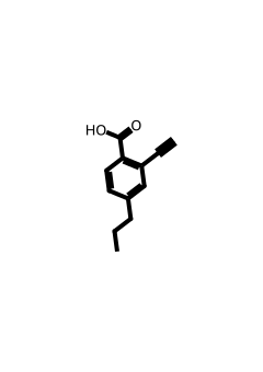 C#Cc1cc(CCC)ccc1C(=O)O